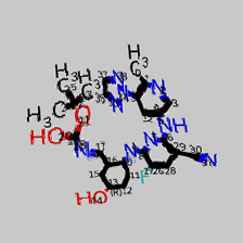 Cc1ncc(Nc2nc(/N=C3\CC[C@@H](O)CC3/C=N/C(O)OC(C)(C)C)c(F)cc2C#N)cc1-n1nccn1